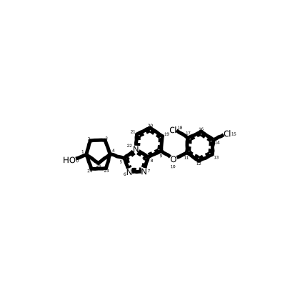 OC12CCC(c3nnc4c(Oc5ccc(Cl)cc5Cl)cccn34)(CC1)C2